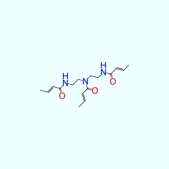 C/C=C/C(=O)NCCN(CCNC(=O)/C=C/C)C(=O)/C=C/C